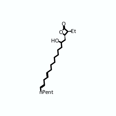 CCCCCC=CCC=CCCCCCCCC(O)C[C@H]1OC(=O)[C@H]1CC